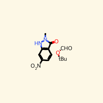 CC(C)(C)OC=O.Cn1[nH]c2cc([N+](=O)[O-])ccc2c1=O